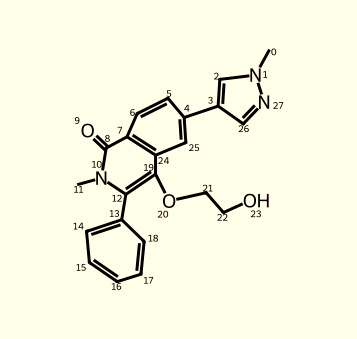 Cn1cc(-c2ccc3c(=O)n(C)c(-c4ccccc4)c(OCCO)c3c2)cn1